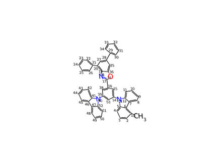 Cc1cccc2c1c1ccccc1n2-c1cc(-c2nc3c(-c4ccccc4)cc(-c4ccccc4)cc3o2)cc(-n2c3ccccc3c3ccccc32)c1